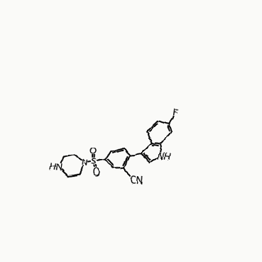 N#Cc1cc(S(=O)(=O)N2CCNCC2)ccc1-c1c[nH]c2cc(F)ccc12